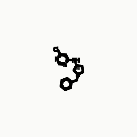 Clc1cc(N[C@@H]2CCN(Cc3ccccc3)C2)ncn1